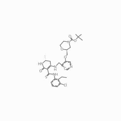 CCc1c(Cl)cccc1NC(=S)C1=C(NCc2ccncc2OC[C@@H]2CN(C(=O)OC(C)(C)C)CCO2)C[C@@H](C)NC1=O